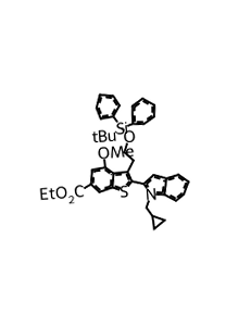 CCOC(=O)c1cc(OC)c2c(CCO[Si](c3ccccc3)(c3ccccc3)C(C)(C)C)c(-c3cc4ccccc4n3CC3CC3)sc2c1